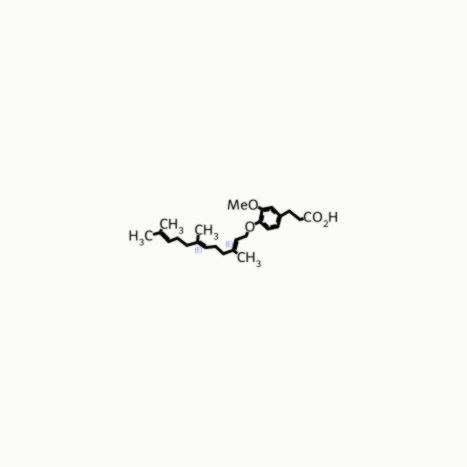 COc1cc(CCC(=O)O)ccc1OC/C=C(\C)CC/C=C(\C)CCC=C(C)C